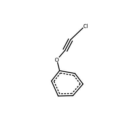 ClC#COc1ccccc1